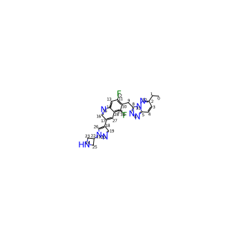 CCc1ccc2nnc(Cc3c(F)cc4ncc(-c5cnn(C6CNC6)c5)cc4c3F)n2n1